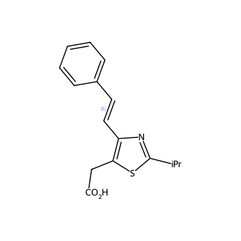 CC(C)c1nc(/C=C/c2ccccc2)c(CC(=O)O)s1